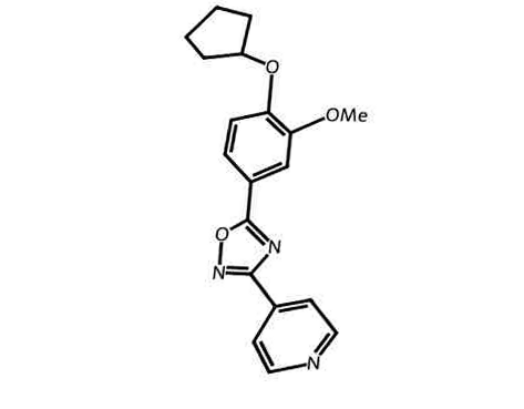 COc1cc(-c2nc(-c3ccncc3)no2)ccc1OC1CCCC1